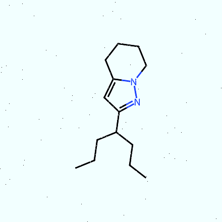 CCCC(CCC)c1cc2n(n1)CCCC2